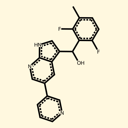 Cc1ccc(F)c(C(O)c2c[nH]c3ncc(-c4cccnc4)cc23)c1F